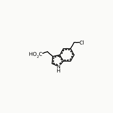 O=C(O)Cc1c[nH]c2ccc(CCl)cc12